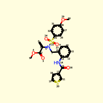 C=C(C(=O)OC)N(Cc1ccccc1NC(=O)c1ccsc1)S(=O)(=O)c1ccc(OC)cc1